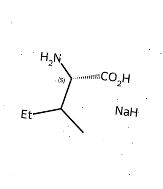 CCC(C)[C@H](N)C(=O)O.[NaH]